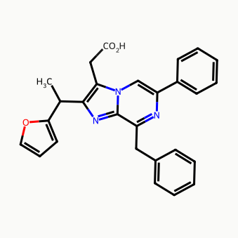 CC(c1ccco1)c1nc2c(Cc3ccccc3)nc(-c3ccccc3)cn2c1CC(=O)O